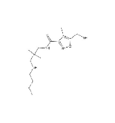 CCCCNCC(C)(C)CNC(=O)c1noc(CO)c1C